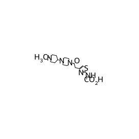 CN1CCC(N2CCN(C(=O)Cc3csc(NC(=O)O)n3)CC2)CC1